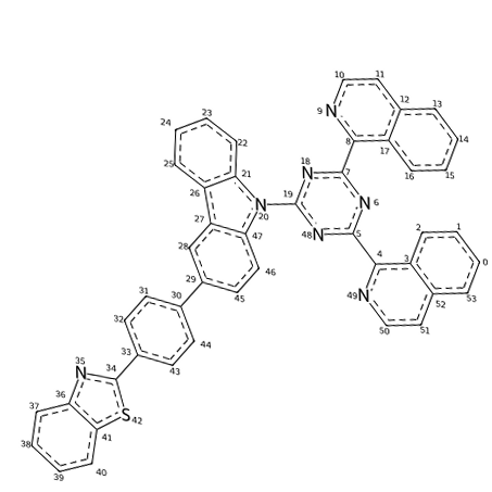 c1ccc2c(-c3nc(-c4nccc5ccccc45)nc(-n4c5ccccc5c5cc(-c6ccc(-c7nc8ccccc8s7)cc6)ccc54)n3)nccc2c1